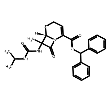 CC(C)NC(=O)NC1(N)C(=O)N2C(C(=O)OC(c3ccccc3)c3ccccc3)=CCS[C@H]21